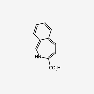 O=C(O)C1=CC=c2ccccc2=CN1